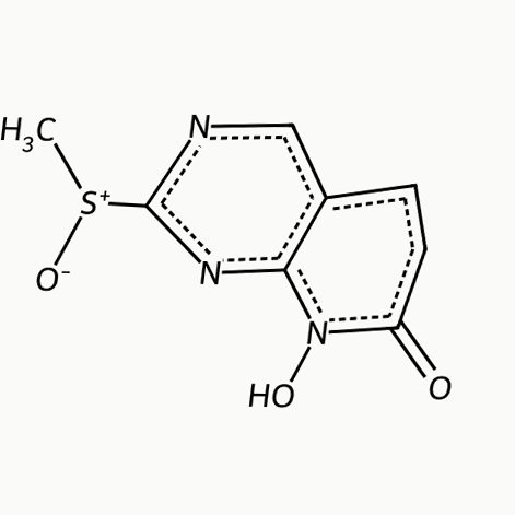 C[S+]([O-])c1ncc2ccc(=O)n(O)c2n1